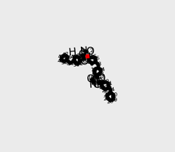 NC(=O)N(c1ccc(Cc2ccc(N(C(N)=O)S(=O)(=O)c3ccc(Cc4ccccc4)cc3)cc2)cc1)S(=O)(=O)c1ccc(Cc2ccccc2)cc1